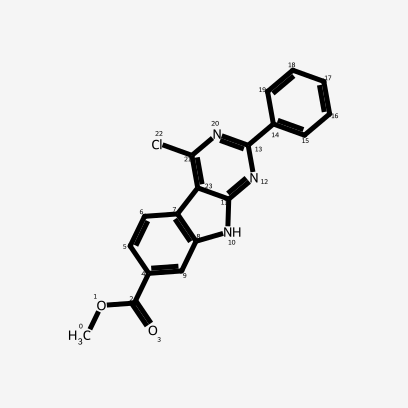 COC(=O)c1ccc2c(c1)[nH]c1nc(-c3ccccc3)nc(Cl)c12